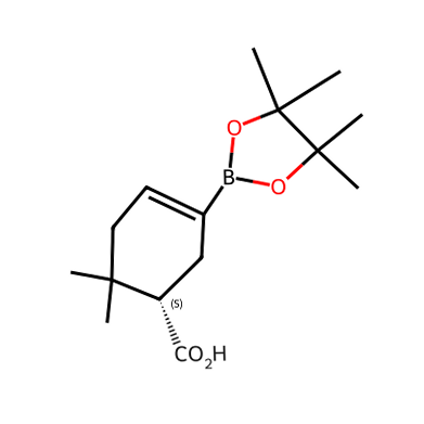 CC1(C)CC=C(B2OC(C)(C)C(C)(C)O2)C[C@@H]1C(=O)O